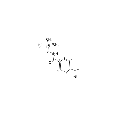 C[Si](C)(C)CNC(=O)c1ccc(CBr)cc1